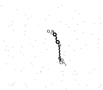 C=CC(=O)OCCCCCCCCOc1ccc(C=Cc2ccc([N+](=O)[O-])cc2)cc1